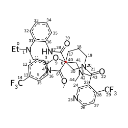 CCN(CCN(C)C(=O)C1(Oc2ccc(C(F)(F)F)cc2)CCCN(C(=O)c2cnccc2C(F)(F)F)C1)c1ccccc1NC(=O)CCN(C)C